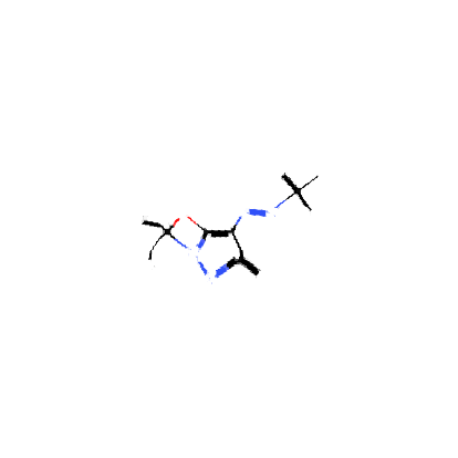 Cc1nn2c(c1/N=N/C(C)(C)C)OC2(C)C